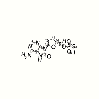 Nc1ncnc2c1[nH]c(=O)n2[C@H]1CC[C@@H](COP(O)(O)=S)O1